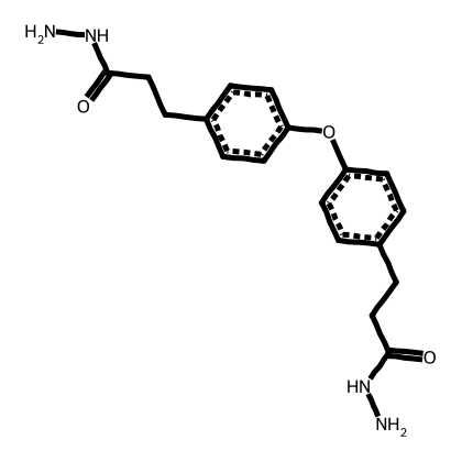 NNC(=O)CCc1ccc(Oc2ccc(CCC(=O)NN)cc2)cc1